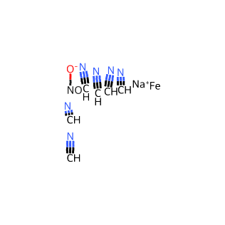 C#N.C#N.C#N.C#N.C#N.C#N.O=N[O-].[Fe].[Na+]